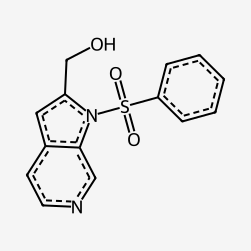 O=S(=O)(c1ccccc1)n1c(CO)cc2ccncc21